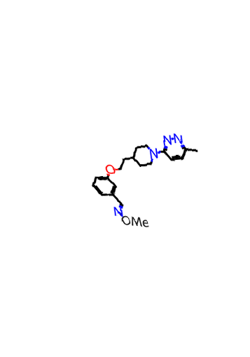 CON=Cc1cccc(OCCC2CCN(c3ccc(C)nn3)CC2)c1